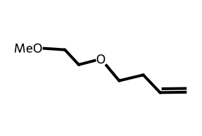 C=CCCOCCOC